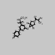 CC(=O)C(C(=O)N1C[C@@H]2[C@H](C1)[C@@H]2Oc1cc(C(C)(C)NC(=O)O)cc(-c2ccc(F)cc2)n1)C(F)(F)F